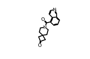 O=C1CC2(CCN(C(=O)c3cccc4cnccc34)CC2)C1